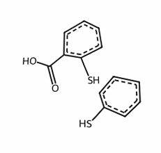 O=C(O)c1ccccc1S.Sc1ccccc1